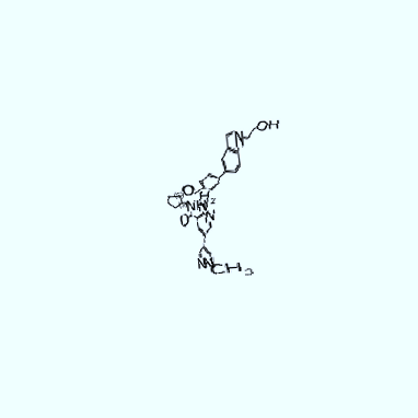 Cn1cc(-c2cnc(N)c(C(=O)N[C@H]3CCC[C@@H]3OCc3ccc(-c4ccc5c(ccn5CCO)c4)cc3)c2)cn1